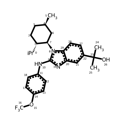 CC(C)[C@@H]1CC[C@@H](C)C[C@H]1n1c(Nc2ccc(OC(F)(F)F)cc2)nc2cc(C(C)(C)O)ccc21